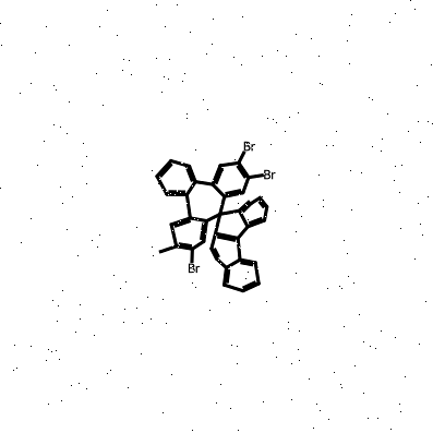 Cc1cc2c(cc1Br)C1(c3cc(Br)c(Br)cc3-c3ccccc3-2)c2ccccc2-c2c1ccc1ccccc21